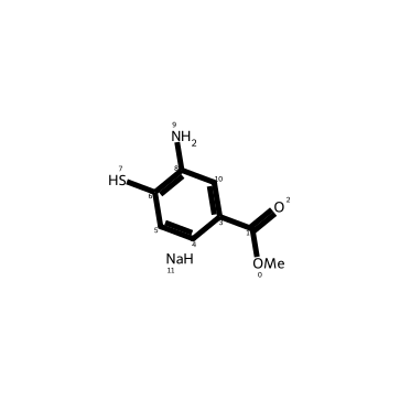 COC(=O)c1ccc(S)c(N)c1.[NaH]